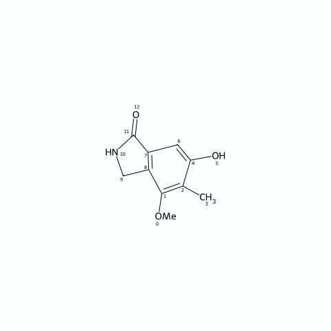 COc1c(C)c(O)cc2c1CNC2=O